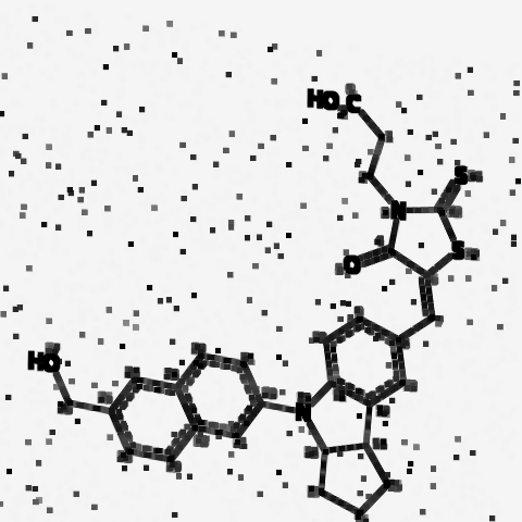 O=C(O)CCN1C(=O)/C(=C\c2ccc3c(c2)C2CCCC2N3c2ccc3cc(CO)ccc3c2)SC1=S